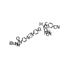 CCC(C)n1ncn(-c2ccc(N3CCN(c4ccc(OC[C@@H]5CO[C@@](Cn6nccn6)(c6cc(C#N)ccc6C)O5)cc4)CC3)cc2)c1=O